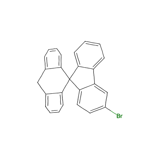 Brc1ccc2c(c1)-c1ccccc1C21c2ccccc2Cc2ccccc21